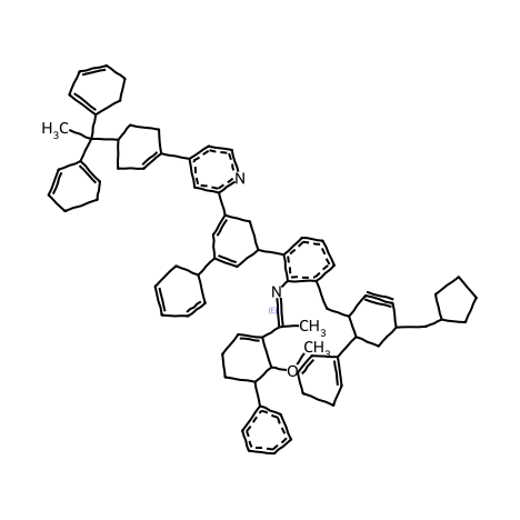 COC1C(/C(C)=N/c2c(CC3C#CC(CC4CCCC4)CC3C3=CCCC=C3)cccc2C2C=C(C3C=CC=CC3)C=C(c3cc(C4=CCC(C(C)(C5=CCCC=C5)C5=CC=CCC5)CC4)ccn3)C2)=CCCC1c1ccccc1